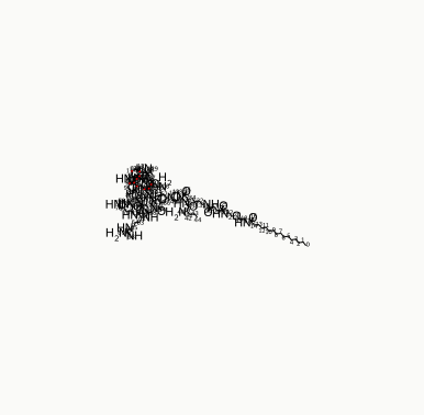 CCCCCCCCCCCCCCCC(=O)NCCOCCNC(=O)CCC(=O)NCCCC[C@H](NC(=O)[C@@H](N)[C@@H](C)CC)C(=O)N1CCN(c2ccc3ncn(CC(=O)N[C@@H](CCCNC(=N)N)C(=O)N[C@@H](Cc4c[nH]cn4)C(=O)N[C@@H](Cc4ccc(O)cc4)C(=O)N[C@@H](CC(C)C)C(=O)N[C@@H](CC(N)=O)C(=O)N[C@@H](Cc4c[nH]c5ccccc45)C(=O)N[C@H](C(=O)NC)C(C)C)c(=O)c3c2)CC1